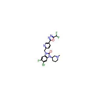 CN1CCCC(n2c(=O)n(Cc3ccc(-c4nnc(C(F)F)o4)cn3)c3cc(F)c(Br)cc32)C1